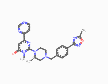 Cc1nc(-c2ccc(CN3CCN(c4nc(-c5ccncn5)cc(=O)n4C)[C@H](C)C3)cc2)no1